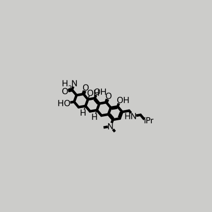 CC(C)CNCc1cc(N(C)C)c2c(c1O)C(=O)C1=C(O)[C@]3(O)C(=O)C(C(N)=O)C(O)C[C@@H]3C[C@@H]1C2